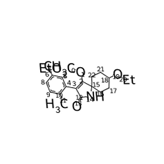 CCOC(=O)OC1=C(c2cc(C)ccc2C)C(=O)NC12CCC(OCC)CC2